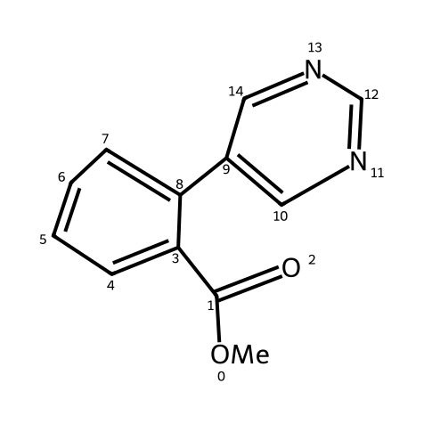 COC(=O)c1ccccc1-c1cncnc1